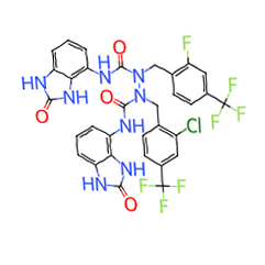 O=C(Nc1cccc2[nH]c(=O)[nH]c12)N(Cc1ccc(C(F)(F)F)cc1F)N(Cc1ccc(C(F)(F)F)cc1Cl)C(=O)Nc1cccc2[nH]c(=O)[nH]c12